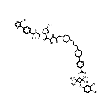 Cc1ncsc1-c1ccc(C(C)NC(=O)[C@@H]2C[C@@H](O)CN2C(=O)C(NC(=O)CN2CCN(CCCN3CCN(c4ccc(C(=O)N[C@H]5C(C)(C)[C@H](Oc6ccc(C#N)c(Cl)c6)C5(C)C)cn4)CC3)CC2)C(C)(C)C)cc1